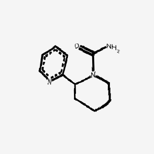 NC(=O)N1CCCCC1c1ccccn1